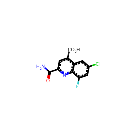 NC(=O)c1cc(C(=O)O)c2cc(Cl)cc(F)c2n1